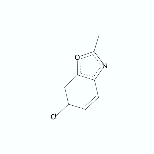 Cc1nc2c(o1)CC(Cl)C=C2